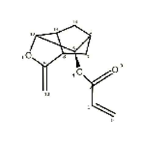 C=CC(=O)O[C@@H]1C2CC3C(=C)OC1C3C2